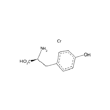 N[C@@H](Cc1ccc(O)cc1)C(=O)O.[Cr]